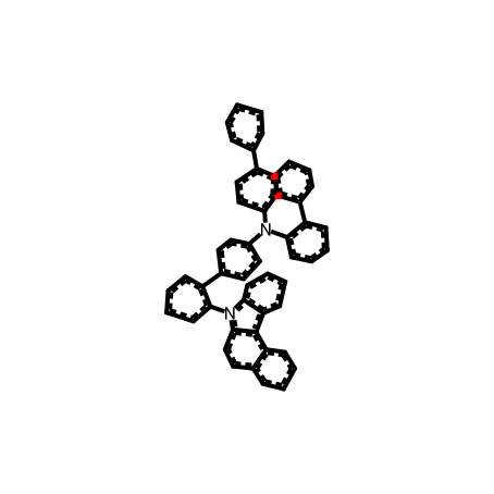 c1ccc(-c2ccc(N(c3ccc(-c4ccccc4-n4c5ccccc5c5c6ccccc6ccc54)cc3)c3ccccc3-c3ccccc3)cc2)cc1